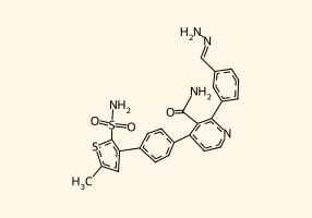 Cc1cc(-c2ccc(-c3ccnc(-c4cccc(C=NN)c4)c3C(N)=O)cc2)c(S(N)(=O)=O)s1